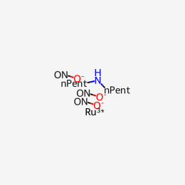 CCCCCNCCCCC.O=N[O-].O=N[O-].O=N[O-].[Ru+3]